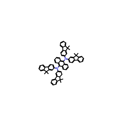 CC1(C)c2ccccc2-c2ccc(N(C3=CCC4C(=C3)c3ccccc3C4(C)C)c3c4ccccc4c(N(c4ccc5c(c4)C(C)(C)c4ccccc4-5)c4ccc5c(c4)C(C)(C)c4ccccc4-5)c4ccccc34)cc21